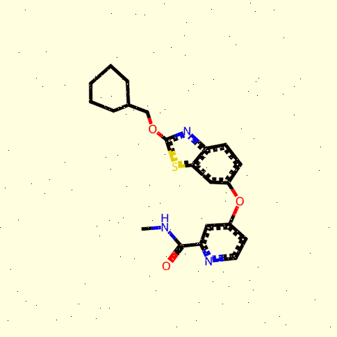 CNC(=O)c1cc(Oc2ccc3nc(OCC4CCCCC4)sc3c2)ccn1